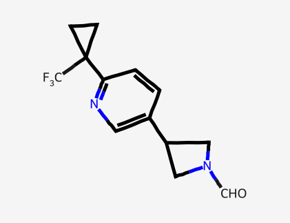 O=CN1CC(c2ccc(C3(C(F)(F)F)CC3)nc2)C1